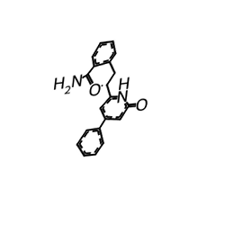 NC(=O)c1ccccc1C[CH]c1cc(-c2ccccc2)cc(=O)[nH]1